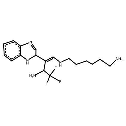 NCCCCCCN/C=C(/C1C=Nc2ccccc2N1)C(N)C(F)(F)F